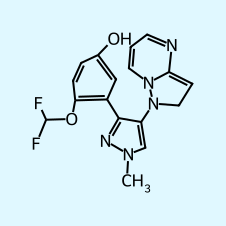 Cn1cc(N2CC=C3N=CC=CN32)c(-c2cc(O)ccc2OC(F)F)n1